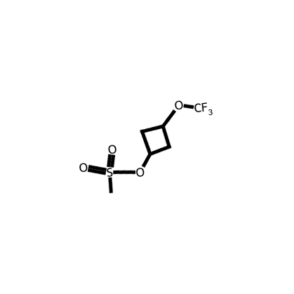 CS(=O)(=O)OC1CC(OC(F)(F)F)C1